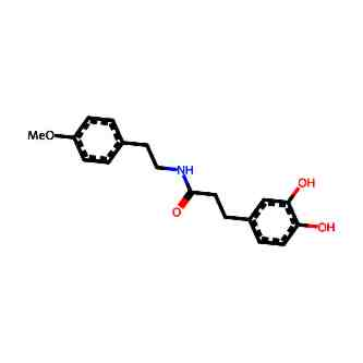 COc1ccc(CCNC(=O)CCc2ccc(O)c(O)c2)cc1